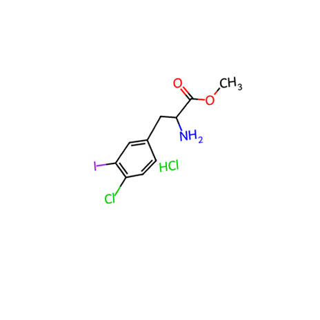 COC(=O)C(N)Cc1ccc(Cl)c(I)c1.Cl